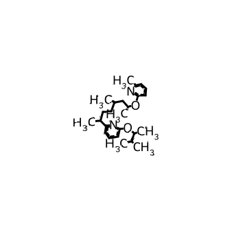 Cc1cccc(OC(C)CC(C)CCC(C)c2cccc(OC(C)C(C)C)n2)n1